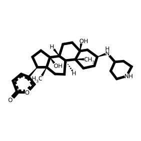 C[C@]12CC[C@H](NC3CCNCC3)C[C@@]1(O)CC[C@@H]1[C@@H]2CC[C@]2(C)[C@@H](c3ccc(=O)oc3)CC[C@]12O